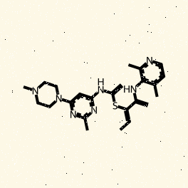 C=C(Nc1cc(N2CCN(C)CC2)nc(C)n1)S/C(=C\C)C(=C)Nc1c(C)ccnc1C